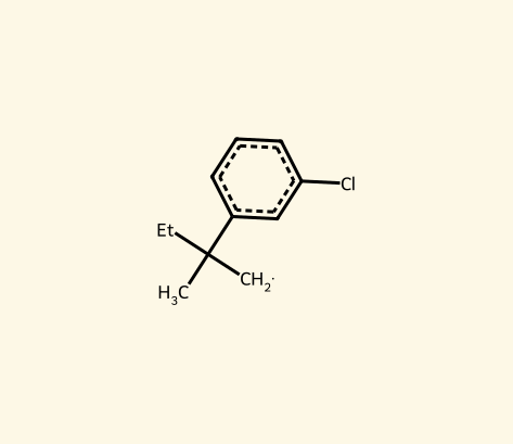 [CH2]C(C)(CC)c1cccc(Cl)c1